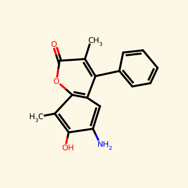 Cc1c(-c2ccccc2)c2cc(N)c(O)c(C)c2oc1=O